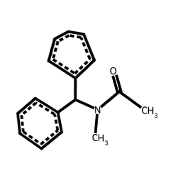 CC(=O)N(C)C(c1ccccc1)c1ccccc1